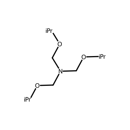 CC(C)OCN(COC(C)C)COC(C)C